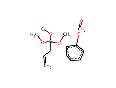 C=CC[Si](OC)(OC)OC.C=O.Oc1ccccc1